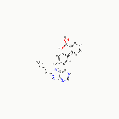 CCCCc1nc2ncncc2n1Cc1ccc(-c2ccccc2C(=O)O)cc1